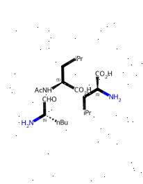 CC(=O)N[C@@H](CC(C)C)C(=O)O.CC(C)C[C@H](N)C(=O)O.CCCC[C@H](N)C=O